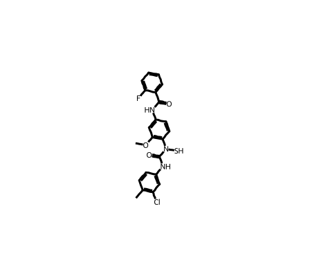 COc1cc(NC(=O)c2ccccc2F)ccc1N(S)C(=O)Nc1ccc(C)c(Cl)c1